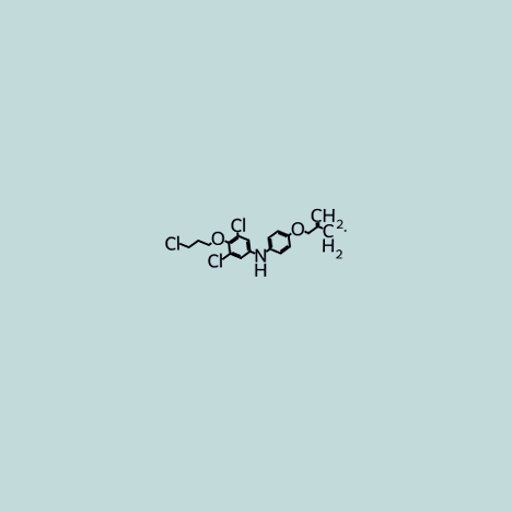 [CH2]C(=C)COc1ccc(Nc2cc(Cl)c(OCCCCl)c(Cl)c2)cc1